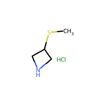 CSC1CNC1.Cl